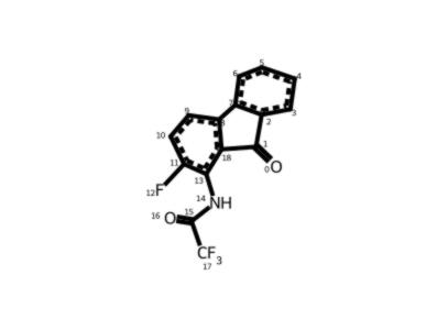 O=C1c2ccccc2-c2ccc(F)c(NC(=O)C(F)(F)F)c21